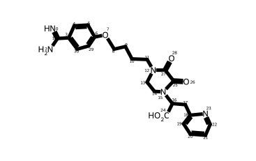 N=C(N)c1ccc(OCCCCN2CCN(C(Cc3ccccn3)C(=O)O)C(=O)C2=O)cc1